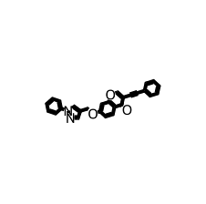 O=c1c(C#Cc2ccccc2)coc2cc(OCc3cnn(-c4ccccc4)c3)ccc12